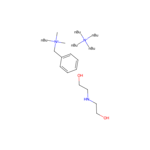 CCCC[N+](C)(C)Cc1ccccc1.CCCC[N+](CCCC)(CCCC)CCCC.OCCNCCO